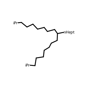 CCCCCCCC(CCCCCCCC(C)C)CCCCCCCC(C)C